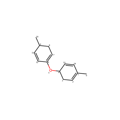 CC1=CCC(OC2=CCC(C)C=C2)C=C1